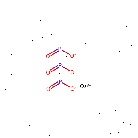 O=P[O-].O=P[O-].O=P[O-].[Os+3]